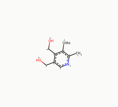 COc1c(C)ncc(CO)c1CO